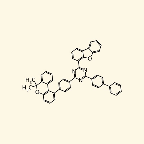 CC1(C)Oc2cccc(-c3ccc(-c4nc(-c5ccc(-c6ccccc6)cc5)nc(-c5cccc6c5oc5ccccc56)n4)cc3)c2-c2ccccc21